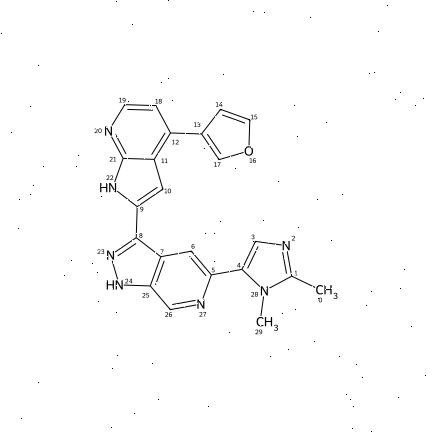 Cc1ncc(-c2cc3c(-c4cc5c(-c6ccoc6)ccnc5[nH]4)n[nH]c3cn2)n1C